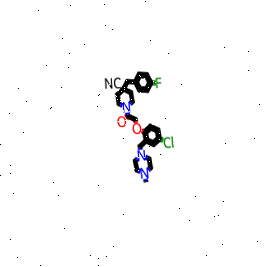 CN1CCN(Cc2cc(Cl)ccc2OCC(=O)N2CCC(C#N)(Cc3ccc(F)cc3)CC2)CC1